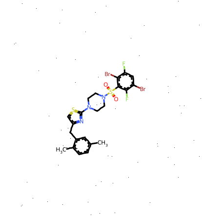 Cc1ccc(C)c(Cc2csc(N3CCN(S(=O)(=O)c4c(F)c(Br)cc(F)c4Br)CC3)n2)c1